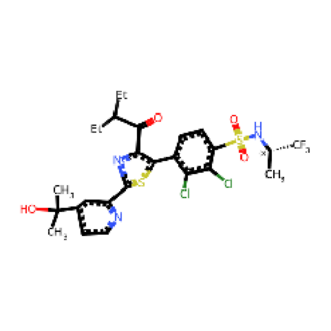 CCC(CC)C(=O)c1nc(-c2cc(C(C)(C)O)ccn2)sc1-c1ccc(S(=O)(=O)N[C@@H](C)C(F)(F)F)c(Cl)c1Cl